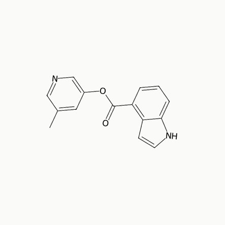 Cc1cncc(OC(=O)c2cccc3[nH]ccc23)c1